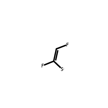 FC=C(F)[S]